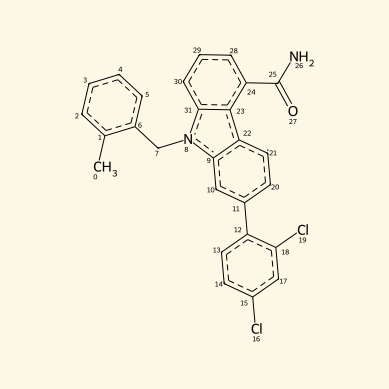 Cc1ccccc1Cn1c2cc(-c3ccc(Cl)cc3Cl)c[c]c2c2c(C(N)=O)cccc21